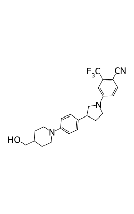 N#Cc1ccc(N2CCC(c3ccc(N4CCC(CO)CC4)cc3)C2)cc1C(F)(F)F